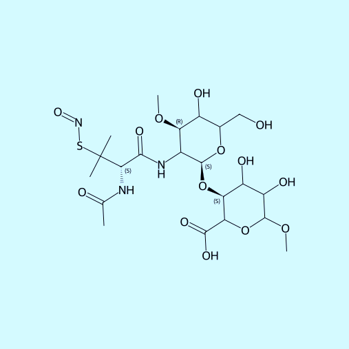 COC1OC(C(=O)O)[C@@H](O[C@@H]2OC(CO)C(O)[C@H](OC)C2NC(=O)[C@H](NC(C)=O)C(C)(C)SN=O)C(O)C1O